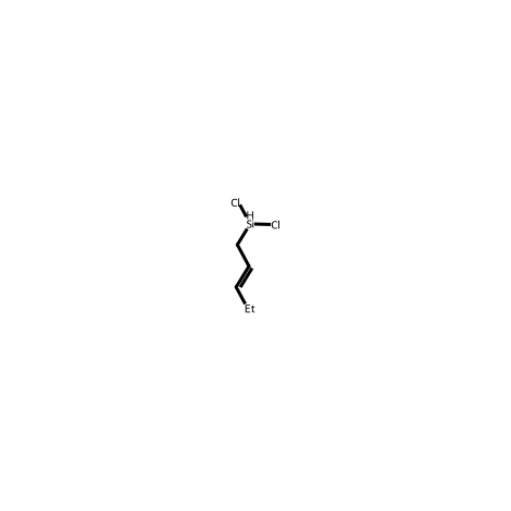 CCC=CC[SiH](Cl)Cl